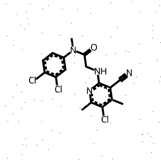 Cc1nc(NCC(=O)N(C)c2ccc(Cl)c(Cl)c2)c(C#N)c(C)c1Cl